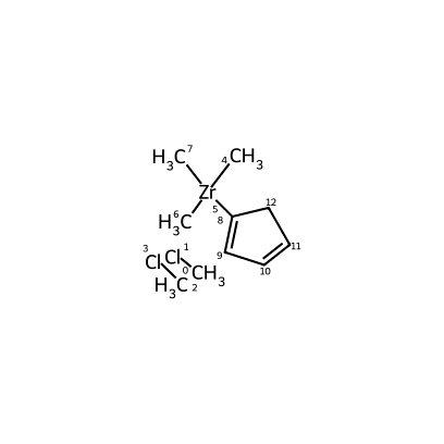 CCl.CCl.[CH3][Zr]([CH3])([CH3])[C]1=CC=CC1